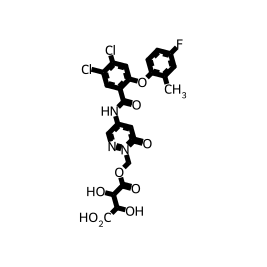 Cc1cc(F)ccc1Oc1cc(Cl)c(Cl)cc1C(=O)Nc1cnn(COC(=O)C(O)C(O)C(=O)O)c(=O)c1